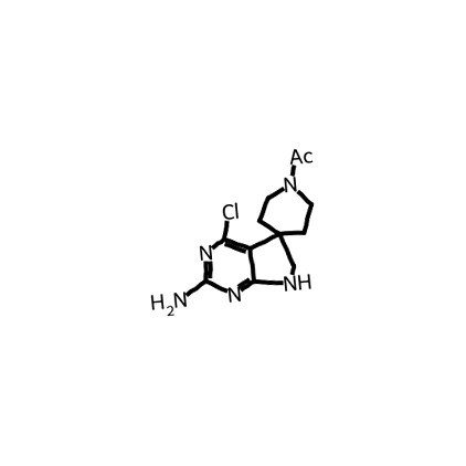 CC(=O)N1CCC2(CC1)CNc1nc(N)nc(Cl)c12